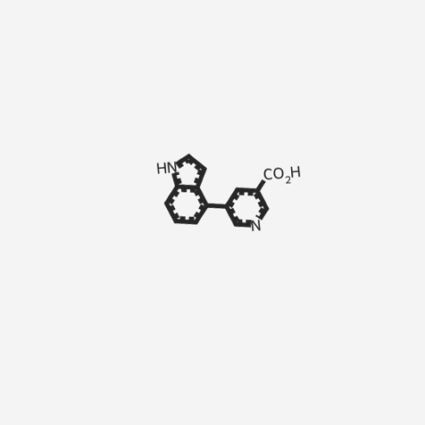 O=C(O)c1cncc(-c2cccc3[nH]ccc23)c1